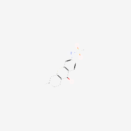 CCCS(=O)(=O)Nc1ccc2c(=O)c3c(sc2c1)CC(CC)CC3